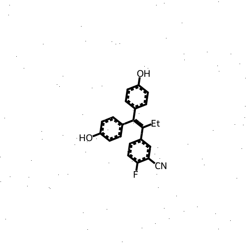 CCC(=C(c1ccc(O)cc1)c1ccc(O)cc1)c1ccc(F)c(C#N)c1